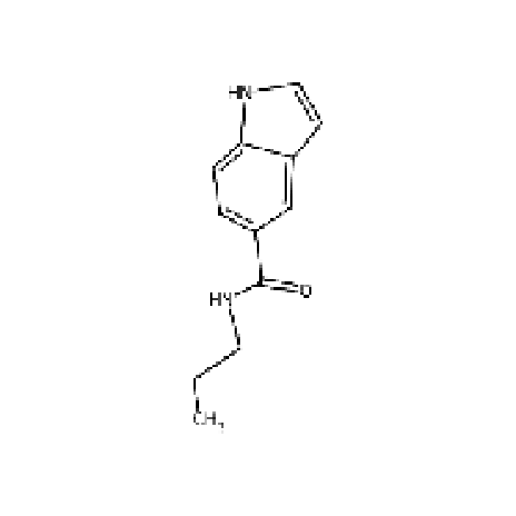 CCCNC(=O)c1ccc2[nH]ccc2c1